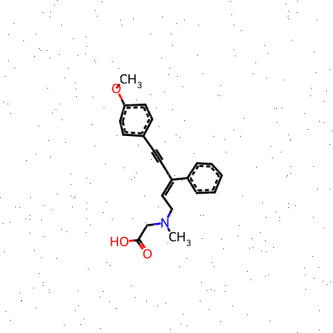 COc1ccc(C#C/C(=C/CN(C)CC(=O)O)c2ccccc2)cc1